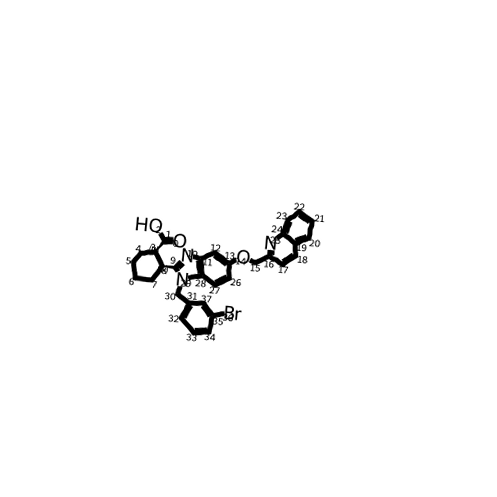 O=C(O)[C@@H]1CCCC[C@@H]1c1nc2cc(OCc3ccc4ccccc4n3)ccc2n1Cc1cccc(Br)c1